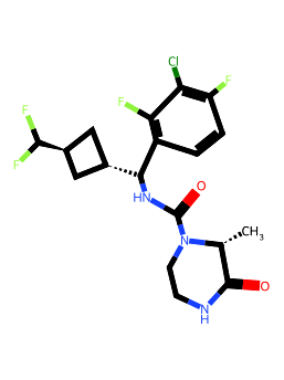 C[C@@H]1C(=O)NCCN1C(=O)NC(c1ccc(F)c(Cl)c1F)[C@H]1C[C@H](C(F)F)C1